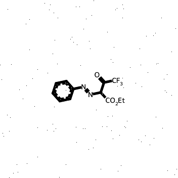 CCOC(=O)C(N=Nc1ccccc1)C(=O)C(F)(F)F